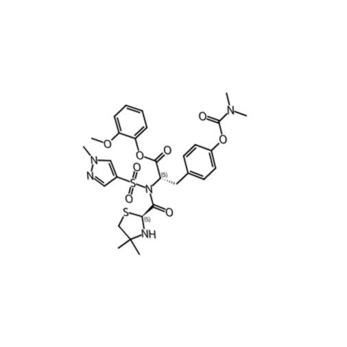 COc1ccccc1OC(=O)[C@H](Cc1ccc(OC(=O)N(C)C)cc1)N(C(=O)[C@H]1NC(C)(C)CS1)S(=O)(=O)c1cnn(C)c1